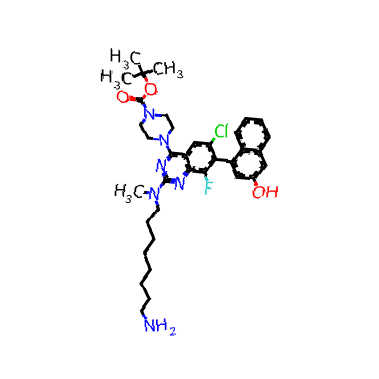 CN(CCCCCCCCN)c1nc(N2CCN(C(=O)OC(C)(C)C)CC2)c2cc(Cl)c(-c3cc(O)cc4ccccc34)c(F)c2n1